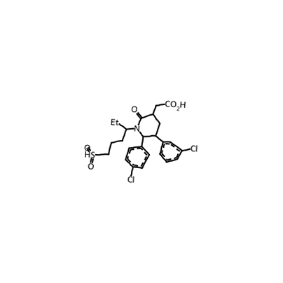 CCC(CCC[SH](=O)=O)N1C(=O)C(CC(=O)O)CC(c2cccc(Cl)c2)C1c1ccc(Cl)cc1